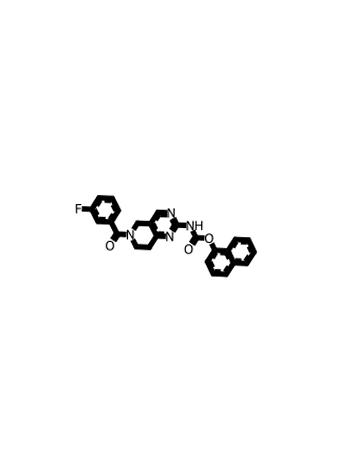 O=C(Nc1ncc2c(n1)CCN(C(=O)c1cccc(F)c1)C2)Oc1cccc2ccccc12